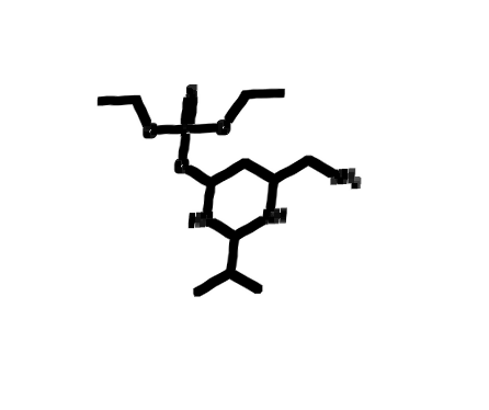 CCOP(=S)(OCC)OC1CC(CN)NC(C(C)C)N1